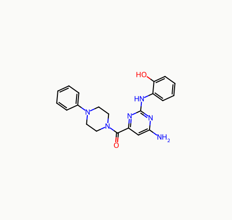 Nc1cc(C(=O)N2CCN(c3ccccc3)CC2)nc(Nc2ccccc2O)n1